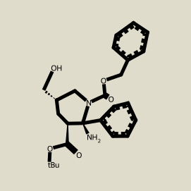 CC(C)(C)OC(=O)[C@H]1C[C@H](CO)CN(C(=O)OCc2ccccc2)[C@]1(N)c1ccccc1